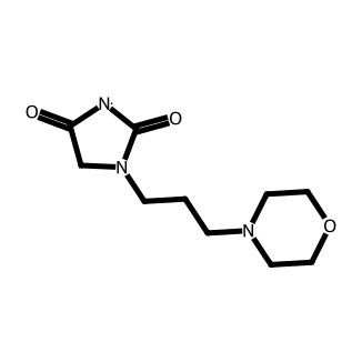 O=C1CN(CCCN2CCOCC2)C(=O)[N]1